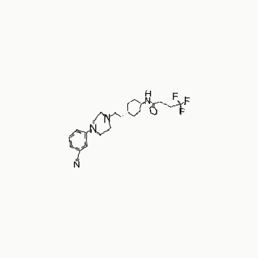 N#Cc1cccc(N2CCN(CC[C@H]3CC[C@H](NC(=O)CCC(F)(F)F)CC3)CC2)c1